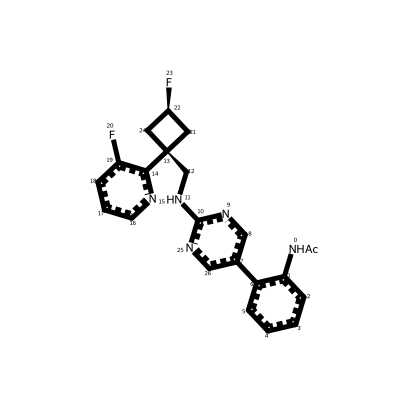 CC(=O)Nc1ccccc1-c1cnc(NC[C@]2(c3ncccc3F)C[C@H](F)C2)nc1